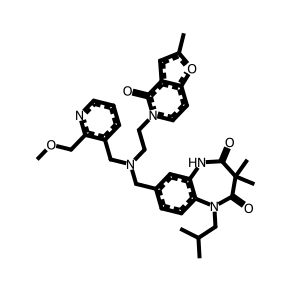 COCc1ncccc1CN(CCn1ccc2oc(C)cc2c1=O)Cc1ccc2c(c1)NC(=O)C(C)(C)C(=O)N2CC(C)C